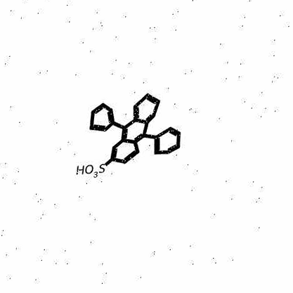 O=S(=O)(O)c1ccc2c(-c3ccccc3)c3ccccc3c(-c3ccccc3)c2c1